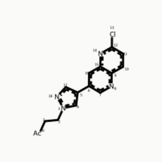 CC(=O)CCn1cc(-c2cnc3ccc(Cl)nc3c2)cn1